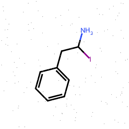 NC(I)Cc1ccccc1